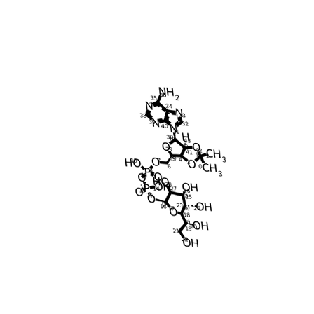 CC1(C)OC2[C@@H](COP(=O)(O)OP(=O)(O)O[C@@H]3OC([C@H](O)CO)[C@@H](O)[C@H](O)C3O)O[C@@H](n3cnc4c(N)ncnc43)[C@H]2O1